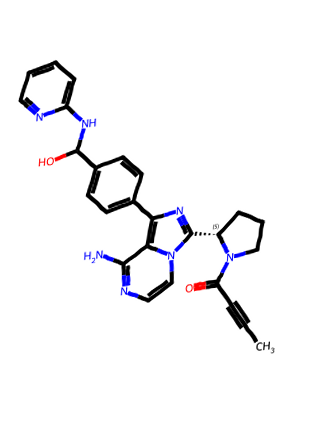 CC#CC(=O)N1CCC[C@H]1c1nc(-c2ccc(C(O)Nc3ccccn3)cc2)c2c(N)nccn12